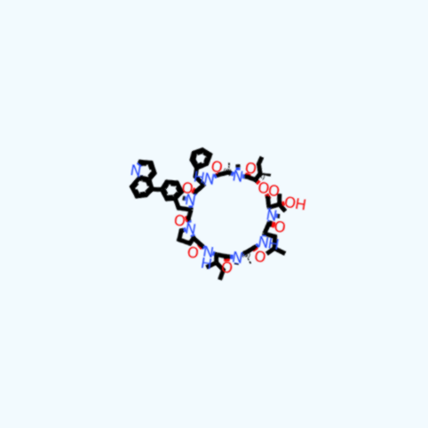 CCC(C)C1NC(=O)C2CCCN2C(=O)C(Cc2cccc(-c3cccc4ncccc34)c2)N(C)C(=O)C(Cc2ccccc2)NC(=O)[C@H](C)N(C)C(=O)C([C@H](C)CC)OC(=O)C(C(C)(C)O)N(C)C(=O)C(CC(C)C)NC(=O)[C@H](C)N(C)C1=O